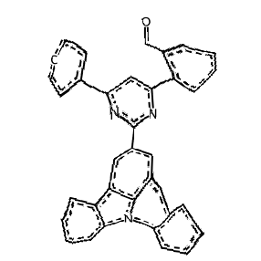 O=Cc1ccccc1-c1cc(-c2ccccc2)nc(-c2cc3c4ccccc4n4c5ccccc5c(c2)c34)n1